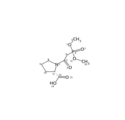 COP(=O)(CC(=O)N1CCC[C@H]1C(=O)O)OC